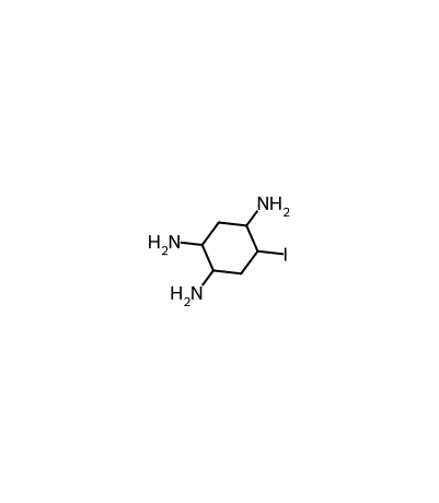 NC1CC(N)C(I)CC1N